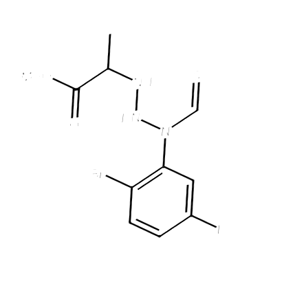 COC(=O)C(C)NNN(C=S)c1cc(F)ccc1Br